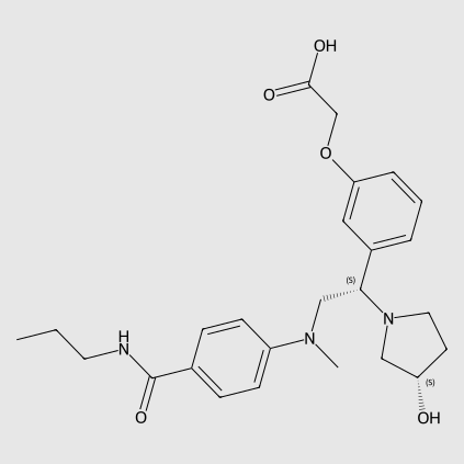 CCCNC(=O)c1ccc(N(C)C[C@H](c2cccc(OCC(=O)O)c2)N2CC[C@H](O)C2)cc1